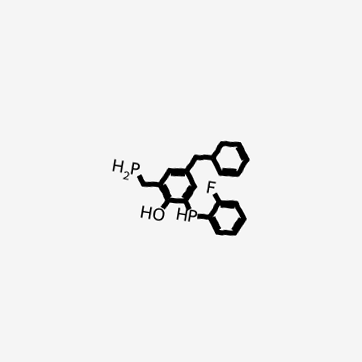 Oc1c(CP)cc(CC2C=CC=CC2)cc1Pc1ccccc1F